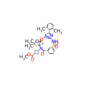 COC(=O)C1CC(N2C(=O)c3cccc(c3)S(=O)(=O)Nc3nc(cc(-c4c(C)cccc4C)n3)OC[C@H]2CC(C)(C)C)C1